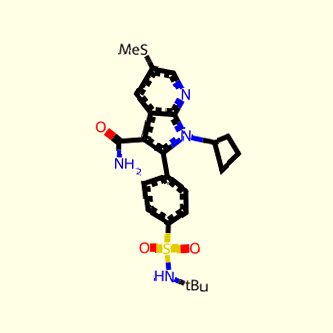 CSc1cnc2c(c1)c(C(N)=O)c(-c1ccc(S(=O)(=O)NC(C)(C)C)cc1)n2C1CCC1